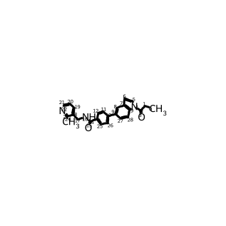 CCC(=O)n1ccc2cc(-c3ccc(C(=O)NCc4cccnc4C)cc3)ccc21